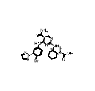 NC(=O)c1cnc(N[C@@H]2CCCC[C@@H]2NC(=O)O)nc1Nc1ccc(Br)c(-n2nccn2)c1